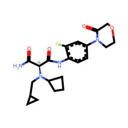 NC(=O)[C@@H](C(=O)Nc1ccc(N2CCOCC2=O)cc1F)N(CC1CC1)C1CCC1